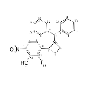 O=[N+]([O-])c1ccc(C2CCN2C(c2ccccc2)c2ccccc2)c(F)c1O